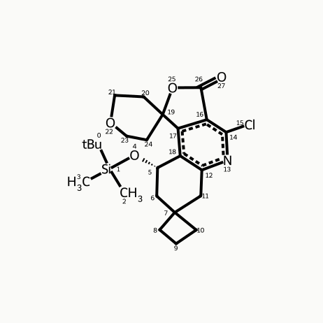 CC(C)(C)[Si](C)(C)O[C@H]1CC2(CCC2)Cc2nc(Cl)c3c(c21)C1(CCOCC1)OC3=O